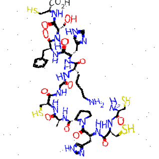 C[C@H](NC(=O)[C@@H]1CCCN1C(=O)[C@H](Cc1c[nH]cn1)NC(=O)[C@H](CS)NC(=O)[C@@H](N)CS)C(=O)N[C@@H](CS)C(=O)NCC(=O)N[C@@H](CCCCN)C(=O)N[C@@H](Cc1c[nH]cn1)C(=O)N[C@@H](Cc1ccccc1)C(=O)N[C@@H](CO)C(=O)N[C@@H](CS)C(=O)O